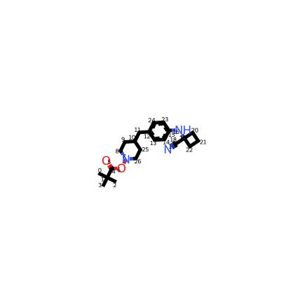 CC(C)(C)C(=O)ON1CCC(Cc2ccc(NC3(C#N)CCC3)cc2)CC1